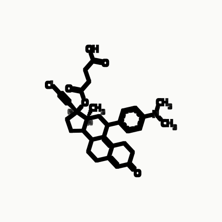 CN(C)c1ccc(C2C[C@@]3(C)C(CC[C@]3(C#CCl)OC(=O)CCC(=O)O)C3CCC4=CC(=O)CCC4=C23)cc1